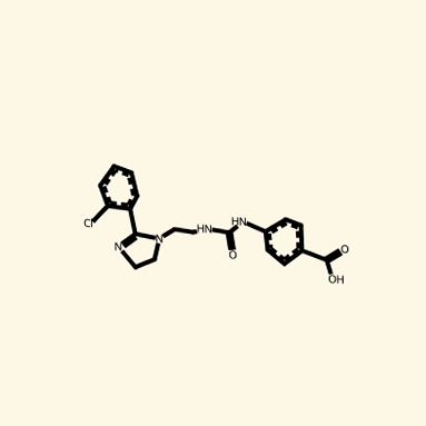 O=C(NCCN1CCN=C1c1ccccc1Cl)Nc1ccc(C(=O)O)cc1